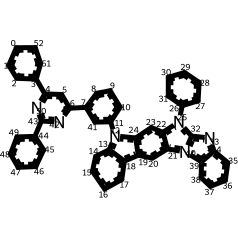 c1ccc(-c2cc(-c3cccc(-n4c5ccccc5c5cc6c(cc54)n(-c4ccccc4)c4nc5ccccc5n64)c3)nc(-c3ccccc3)n2)cc1